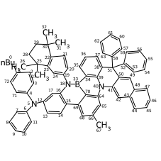 CCCCc1ccc(N(c2ccccc2)c2ccc3c(c2)N(c2ccc4c(c2)C(C)(C)CCC4(C)C)B2c4cccc5c4N(c4cc6ccccc6cc4C5(c4ccccc4)c4ccccc4)c4cc(C)cc-3c42)cc1